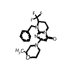 C[C@H]1CN(c2cc(=O)n3c(n2)N(Cc2ccccc2)C(C(F)(F)F)CC3)CCO1